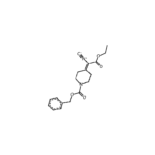 [C-]#[N+]C(C(=O)OCC)=C1CCN(C(=O)OCc2ccccc2)CC1